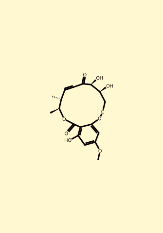 COc1cc(O)c2c(c1)OCC[C@H](O)[C@H](O)C(=O)/C=C\[C@@H](C)[C@H](C)OC2=O